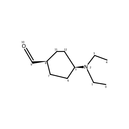 CCN(CC)[C@H]1CC[C@@H](C=O)CC1